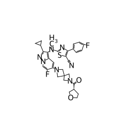 CN(c1nc(-c2ccc(F)cc2)c(C#N)s1)c1c(C2CC2)nn2cc(F)c(N3CC4(CN(C(=O)[C@H]5CCOC5)C4)C3)cc12